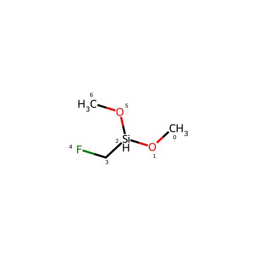 CO[SiH](CF)OC